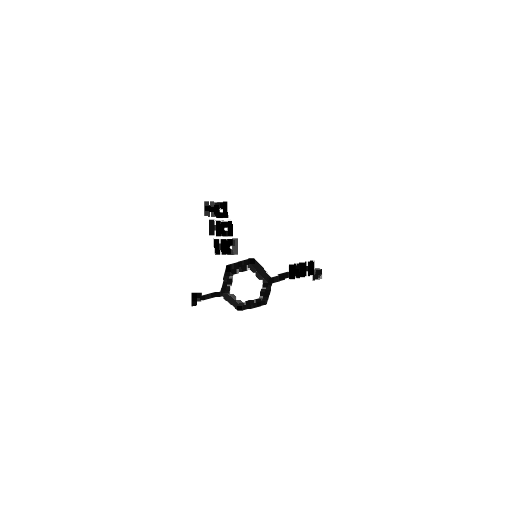 Cl.Cl.Cl.Nc1ccc(F)cc1